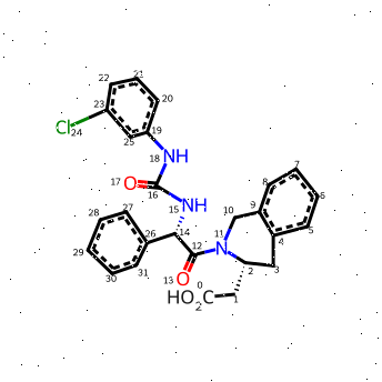 O=C(O)C[C@H]1Cc2ccccc2CN1C(=O)[C@@H](NC(=O)Nc1cccc(Cl)c1)c1ccccc1